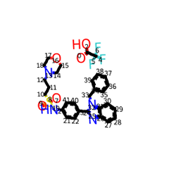 O=C(O)C(F)(F)F.O=S(=O)(CCCN1CCOCC1)Nc1ccc(-c2nc3ccccc3n2Cc2ccccc2)cc1